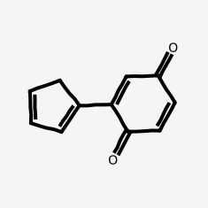 O=C1C=CC(=O)C(C2=CC=CC2)=C1